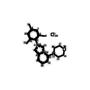 Cc1cc(C)c(-[n+]2cc3cccc(N4CCOCC4)n3c2)c(C)c1.[Cl-]